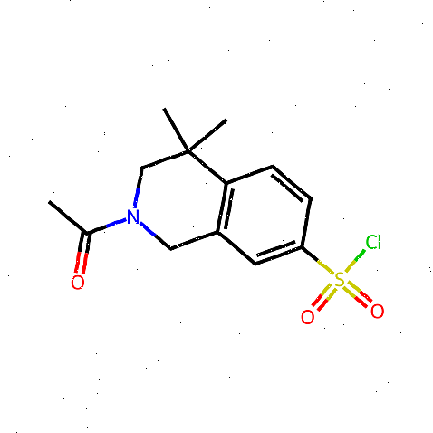 CC(=O)N1Cc2cc(S(=O)(=O)Cl)ccc2C(C)(C)C1